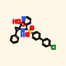 O=C(O)C1(NC(c2cccnc2)S(=O)(=O)c2ccc(-c3ccc(Cl)cc3)cc2)CC1c1ccccc1